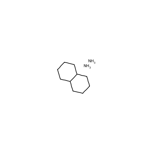 C1CCC2CCCCC2C1.N.N